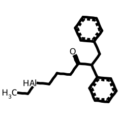 C[CH2][AlH][CH2]CCC(=O)C(Cc1ccccc1)c1ccccc1